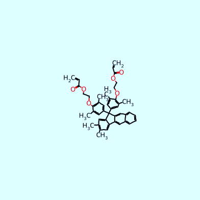 C=CC(=O)OCCOc1c(C)cc(C2(c3cc(C)c(OCCOC(=O)C=C)c(C)c3)c3cc(C)c(C)cc3-c3cc4ccccc4cc32)cc1C